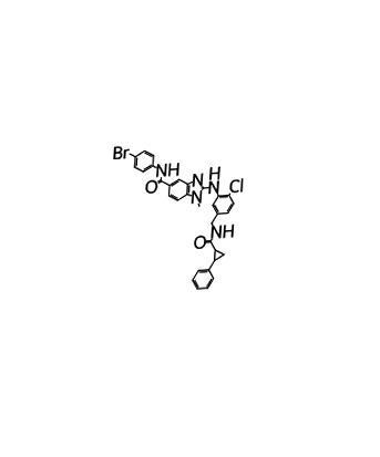 Cn1c(Nc2cc(CNC(=O)C3CC3c3ccccc3)ccc2Cl)nc2cc(C(=O)Nc3ccc(Br)cc3)ccc21